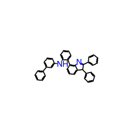 c1ccc(C2=Nc3c(-c4ccccc4Nc4cccc(-c5ccccc5)c4)cccc3C2c2ccccc2)cc1